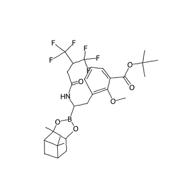 COc1c(CC(NC(=O)CC(C(F)(F)F)C(F)(F)F)B2OC3CC4CC(C4(C)C)C3(C)O2)cccc1C(=O)OC(C)(C)C